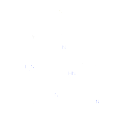 CC1CC(N)CN(c2ccncc2NC(=O)c2ccc3scc(C(C)C)c3n2)C1